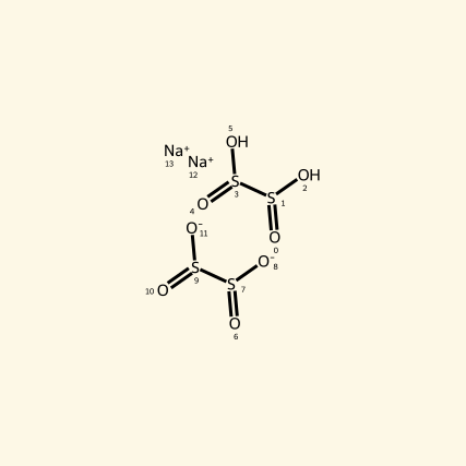 O=S(O)S(=O)O.O=S([O-])S(=O)[O-].[Na+].[Na+]